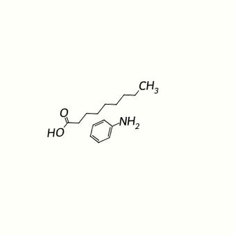 CCCCCCCCC(=O)O.Nc1ccccc1